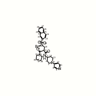 O=C(NC1CCN(c2ccncc2)CC1)C(CN(Br)S(=O)(=O)c1ccc2ccccc2c1)C(=O)N1CCSCC1